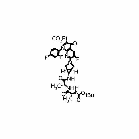 CCOC(=O)c1cn(-c2ccc(F)cc2F)c2nc(N3C[C@@H]4[C@H](C3)[C@H]4NC(=O)[C@H](C)NC(=O)[C@H](C)NC(=O)OC(C)(C)C)c(F)cc2c1=O